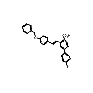 O=C(O)c1ccc(-c2ccc(F)cc2)cc1C=Cc1ccc(OCc2ccccc2)cc1